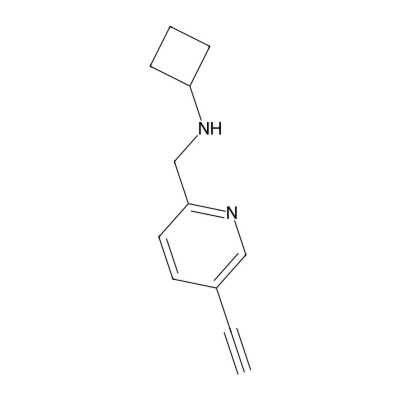 C#Cc1ccc(CNC2CCC2)nc1